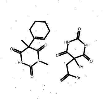 C=C(Br)CC1(C(C)C)C(=O)NC(=O)NC1=O.CN1C(=O)NC(=O)C(C)(C2=CCCCC2)C1=O